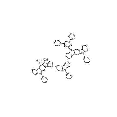 CC1(C)c2ccc(-c3ccc4c(c3)c3cc(-c5ccc6c(c5)c5cc7c(cc5n6-c5nc(-c6ccccc6)cc(-c6ccccc6)n5)c5ccccc5n7-c5ccccc5)ccc3n4-c3ccccc3)cc2-c2cc3c(cc21)c1ccccc1n3-c1ccccc1